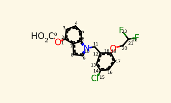 O=C(O)Oc1cccc2c1ccn2Cc1cc(Cl)ccc1OCC(F)F